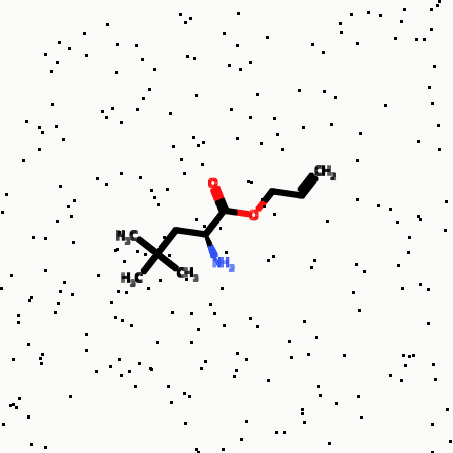 C=CCOC(=O)[C@@H](N)CC(C)(C)C